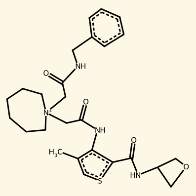 Cc1csc(C(=O)NC2COC2)c1NC(=O)C[N+]1(CC(=O)NCc2ccccc2)CCCCCC1